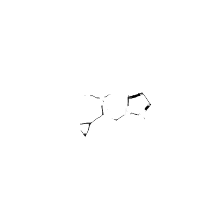 CC(C)(C)N(C(=O)O)[C@@H](Cn1cccn1)C1CO1